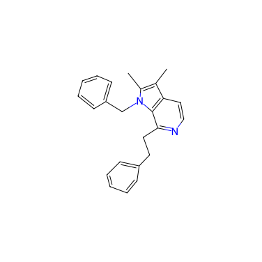 Cc1c(C)n(Cc2ccccc2)c2c(CCc3ccccc3)nccc12